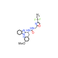 COc1ccc(CC(NC(=O)NCc2nc(C(C)(F)F)co2)c2nc3ccccc3[nH]2)cc1